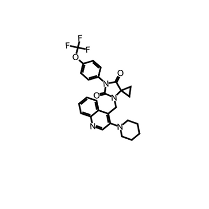 O=C1N(c2ccc(OC(F)(F)F)cc2)C(=O)C2(CC2)N1Cc1c(N2CCCCC2)cnc2ccccc12